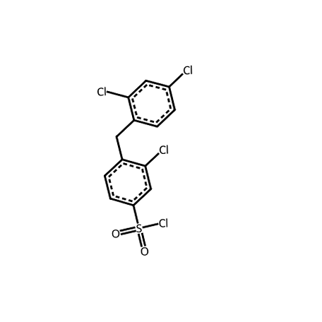 O=S(=O)(Cl)c1ccc(Cc2ccc(Cl)cc2Cl)c(Cl)c1